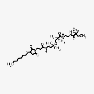 BCCCCCCSC1CC(=O)N(CCC(=O)NCCC(C)(C)OCC(C)(C)C(=O)NCCNC(=O)C(C)(F)CC)C1=O